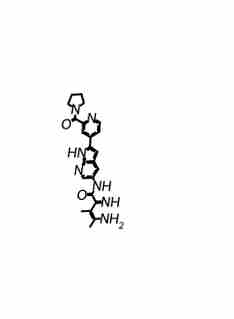 C/C(N)=C(\C)C(=N)C(=O)Nc1cnc2[nH]c(-c3ccnc(C(=O)N4CCCC4)c3)cc2c1